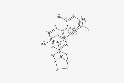 CC(N)C#Cc1cc(N2C3CCC2CN(c2cc(-c4ccccc4O)nnc2N)C3)ccn1